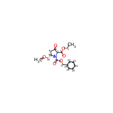 CCOC(=O)C1C(=O)C[C@@H](COC)N1C(=O)OCc1ccccc1